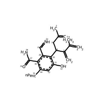 C=C(C)CC(C(=C)C(=C)C)c1c(O)cc(CCCCC)c(C(N)=O)c1C=N